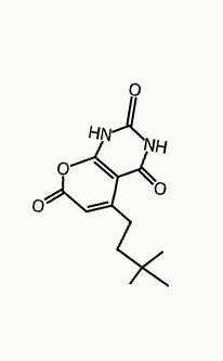 CC(C)(C)CCc1cc(=O)oc2[nH]c(=O)[nH]c(=O)c12